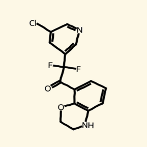 O=C(c1cccc2c1OCCN2)C(F)(F)c1cncc(Cl)c1